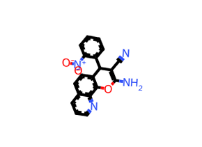 N#CC1=C(N)Oc2c(ccc3cccnc23)C1c1ccccc1[N+](=O)[O-]